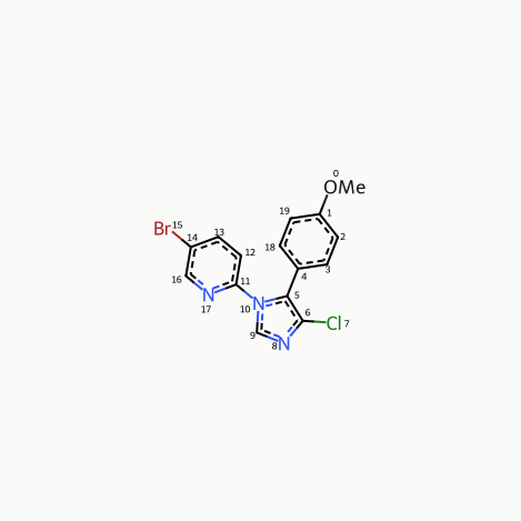 COc1ccc(-c2c(Cl)ncn2-c2ccc(Br)cn2)cc1